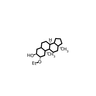 CCO[C@H]1C[C@@]2(C)C(CC[C@H]3C4CCC[C@@]4(C)CCC32)C[C@@H]1O